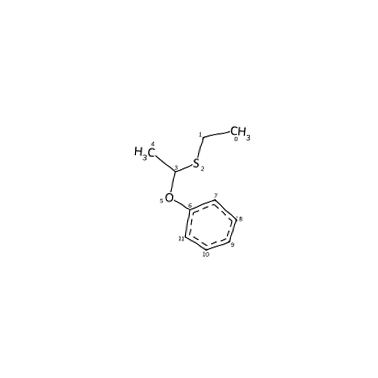 CCSC(C)Oc1c[c]ccc1